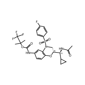 CC(=O)N[C@@H](C1CC1)[C@H]1CN(S(=O)(=O)c2ccc(F)cc2)c2cc(NC(=O)OC(C)(C)C(F)(F)F)ccc2O1